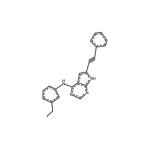 ICc1cccc(Nc2ncnc3[nH]c(C#Cc4ccccc4)cc23)c1